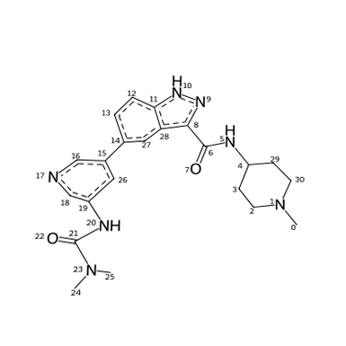 CN1CCC(NC(=O)c2n[nH]c3ccc(-c4cncc(NC(=O)N(C)C)c4)cc23)CC1